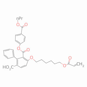 C=CC(=O)OCCCCCCOc1ccc(C(=O)O)c(-c2ccccc2)c1C(=O)Oc1ccc(C(=O)OCCC)cc1